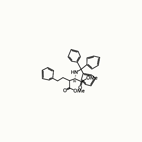 COC(=O)C(CCc1ccccc1)[C@H](NC(c1ccccc1)(c1ccccc1)c1ccccc1)C(=O)OC